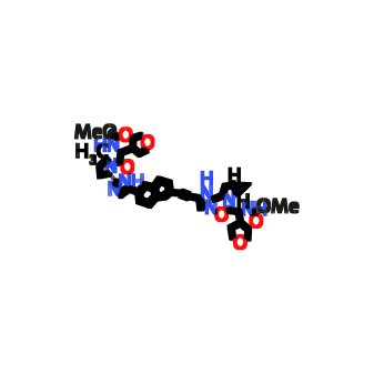 COC(=O)N[C@H](C(=O)N1C(c2ncc(C#Cc3ccc4cc(-c5cnc([C@@H]6CC[C@H](C)N6C(=O)[C@@H](NC(=O)OC)C6CCOCC6)[nH]5)ccc4c3)[nH]2)C[C@H]2C[C@H]21)C1CCOCC1